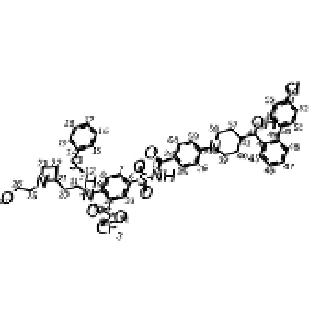 O=C(NS(=O)(=O)c1ccc(N[C@@H](CSc2ccccc2)CC2CCN2CCO)c(S(=O)(=O)C(F)(F)F)c1)c1ccc(N2CCC([C@@H](O)c3ccccc3-c3ccc(Cl)cc3)CC2)cc1